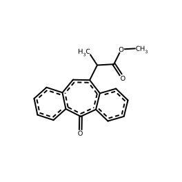 COC(=O)C(C)c1cc2ccccc2c(=O)c2ccccc12